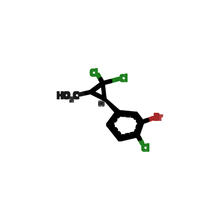 O=C(O)C1[C@H](c2ccc(Cl)c(Br)c2)C1(Cl)Cl